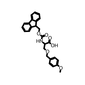 COc1ccc(COCC(NC(=O)OCC2c3ccccc3-c3ccccc32)C(=O)O)cc1